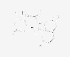 CCC(C)C(=O)O[C@H]1C[C@@H](C)C=C2C=C[C@@H](C)[C@H](CC[C@@H]3C[C@@H](O)CC(=O)O3)[C@@H]21